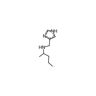 [CH2]CCC(C)NCc1c[nH]cn1